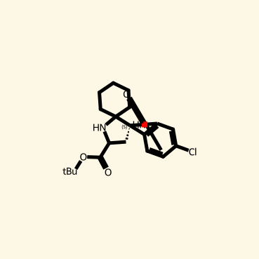 CC(C)(C)OC(=O)C1C[C@@]2(C(=O)Nc3cc(Cl)ccc32)C2(CCCCC2)N1